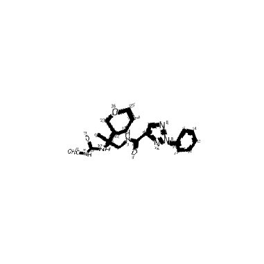 CC(CNC(=O)c1cnn(-c2ccccc2)n1)(NC(=O)NC=O)C1CCCOC1